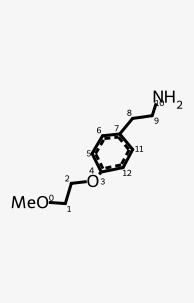 COCCOc1ccc(CCN)cc1